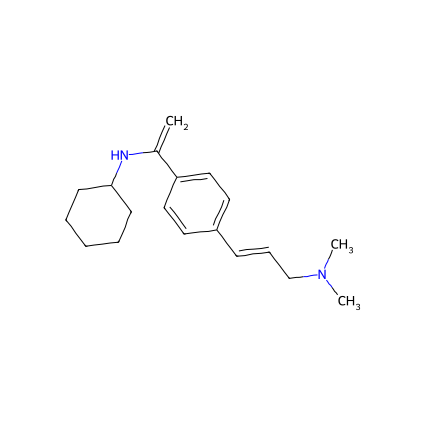 C=C(NC1CCCCC1)c1ccc(/C=C/CN(C)C)cc1